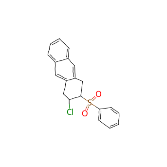 O=S(=O)(c1ccccc1)C1Cc2cc3ccccc3cc2CC1Cl